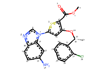 COC(=O)c1sc(-n2cnc3ccc(N)cc32)cc1O[C@H](C)c1ccccc1Cl